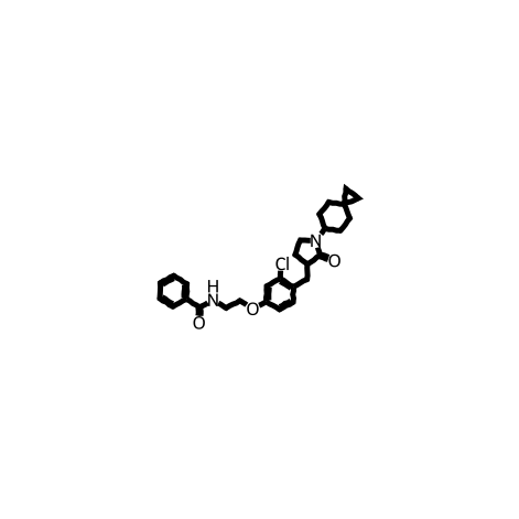 O=C(NCCOc1ccc(CC2CCN(C3CCC4(CC3)CC4)C2=O)c(Cl)c1)c1ccccc1